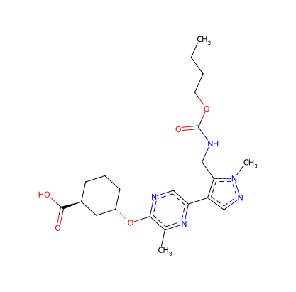 CCCCOC(=O)NCc1c(-c2cnc(O[C@H]3CCC[C@H](C(=O)O)C3)c(C)n2)cnn1C